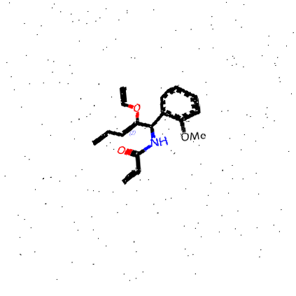 C=C/C=C(\OC=C)C(NC(=O)C=C)c1ccccc1OC